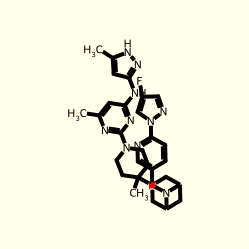 Cc1cc(Nc2cc(C)[nH]n2)nc(N2CCC(C)(N3CC4CC(C3)N4Cc3ccc(-n4cc(F)cn4)nc3)CC2)n1